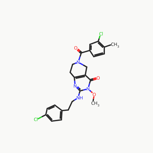 COn1c(NCCc2ccc(Cl)cc2)nc2c(c1=O)CN(C(=O)c1ccc(C)c(Cl)c1)CC2